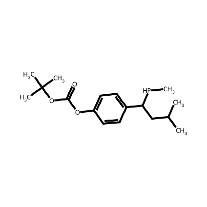 CPC(CC(C)C)c1ccc(OC(=O)OC(C)(C)C)cc1